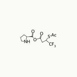 CC(=O)SC(CC(=O)OC(=O)[C@@H]1CCCN1)C(F)(F)F